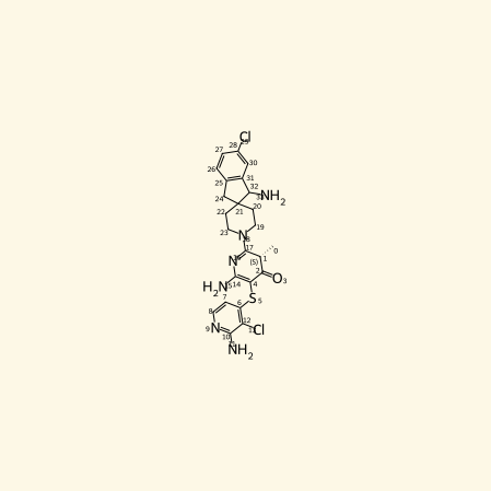 C[C@@H]1C(=O)C(Sc2ccnc(N)c2Cl)=C(N)N=C1N1CCC2(CC1)Cc1ccc(Cl)cc1C2N